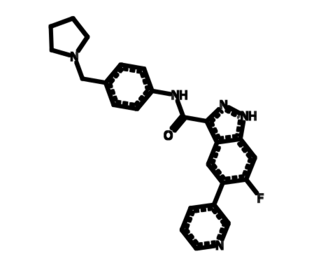 O=C(Nc1ccc(CN2CCCC2)cc1)c1n[nH]c2cc(F)c(-c3cccnc3)cc12